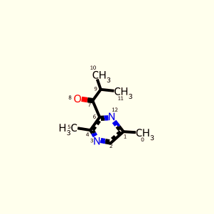 Cc1cnc(C)c(C(=O)C(C)C)n1